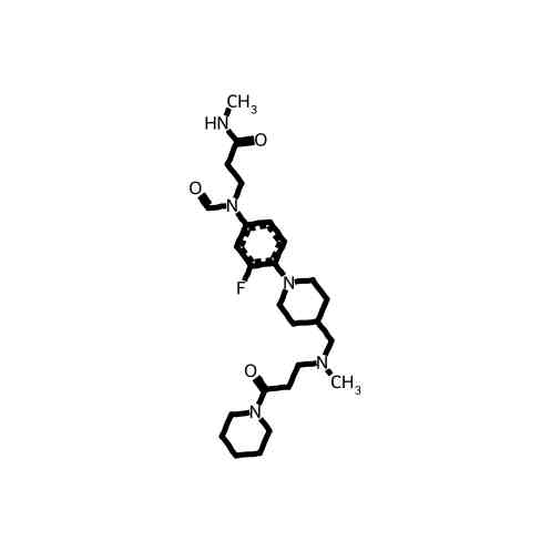 CNC(=O)CCN(C=O)c1ccc(N2CCC(CN(C)CCC(=O)N3CCCCC3)CC2)c(F)c1